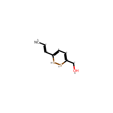 N#CC=CC1=CC=C(CO)SS1